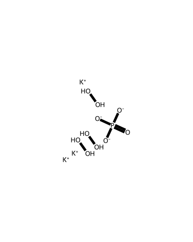 O=P([O-])([O-])[O-].OO.OO.OO.[K+].[K+].[K+]